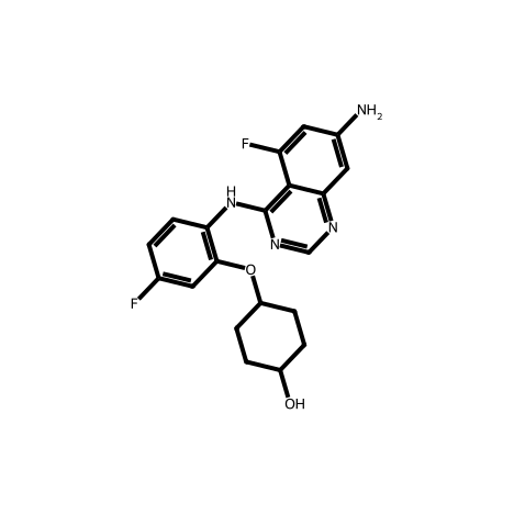 Nc1cc(F)c2c(Nc3ccc(F)cc3OC3CCC(O)CC3)ncnc2c1